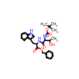 CC(O)C(NC(=O)OC(C)(C)C)C(=O)NC(Cc1c[nH]c2ccccc12)C(=O)OCc1ccccc1